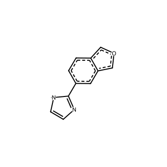 C1=CN=C(c2ccc3cocc3c2)[N]1